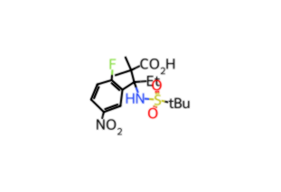 CCC(NS(=O)(=O)C(C)(C)C)(c1cc([N+](=O)[O-])ccc1F)C(C)(C)C(=O)O